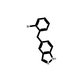 Brc1ccccc1[CH]c1ccc2[nH]ncc2c1